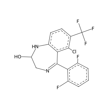 OC1CN=C(c2c(F)cccc2F)c2c(ccc(C(F)(F)F)c2Cl)N1